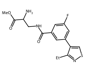 CCc1nscc1-c1cc(F)cc(C(=O)NCC(N)C(=O)OC)c1